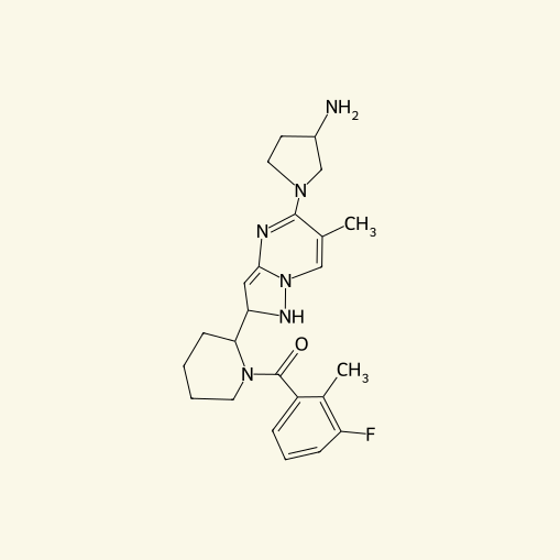 CC1=CN2NC(C3CCCCN3C(=O)c3cccc(F)c3C)C=C2N=C1N1CCC(N)C1